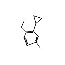 CC(C)c1ccc(CN)c(C2CC2)c1